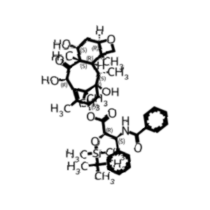 CC1=C2[C@@H](O)C(=O)[C@@]3(C)[C@H]([C@H](C)[C@](O)(C[C@@H]1OC(=O)[C@H](O[Si](C)(C)C(C)(C)C)[C@@H](NC(=O)c1ccccc1)c1ccccc1)C2(C)C)[C@]1(C)CO[C@@H]1C[C@@H]3O